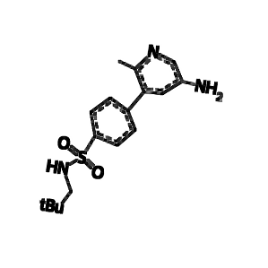 Cc1ncc(N)cc1-c1ccc(S(=O)(=O)NCC(C)(C)C)cc1